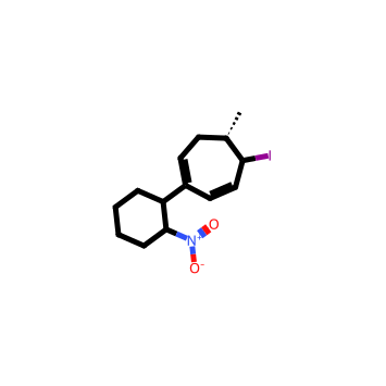 C[C@H]1CC=C(C2CCCCC2[N+](=O)[O-])C=CC1I